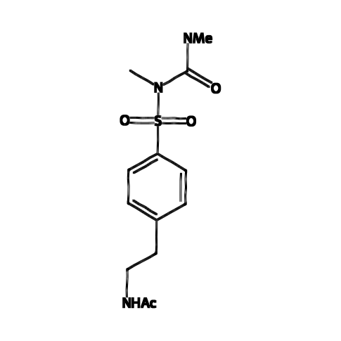 CNC(=O)N(C)S(=O)(=O)c1ccc(CCNC(C)=O)cc1